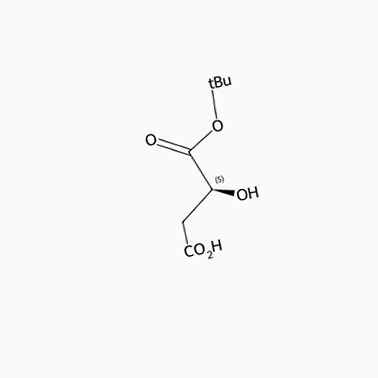 CC(C)(C)OC(=O)[C@@H](O)CC(=O)O